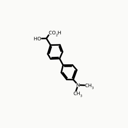 CN(C)c1ccc(-c2ccc(C(O)C(=O)O)cc2)cc1